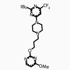 COc1ccnc(OCCCN2CCN(c3cc(C(F)(F)F)nc(C(C)(C)C)n3)CC2)n1